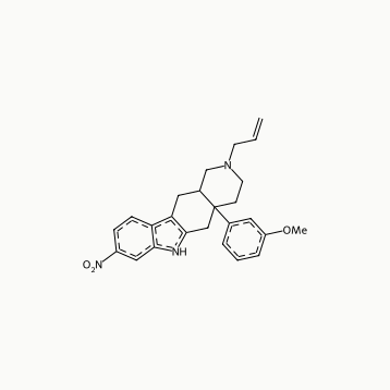 C=CCN1CCC2(c3cccc(OC)c3)Cc3[nH]c4cc([N+](=O)[O-])ccc4c3CC2C1